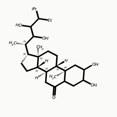 CCC(C(C)C)C(O)C(O)[C@@H](C)[C@H]1CC[C@H]2[C@@H]3CC(=O)C4CC(O)C(O)C[C@]4(C)[C@H]3CC[C@]12C